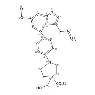 C=NCc1cnn2cc(OCC)cc(-c3ccc(N4CCC(CO)(C(=O)OCC)CC4)nc3)c12